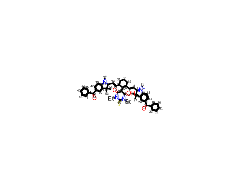 CCN1C(=O)C(C2=C(C=CC3=[N+](C)c4ccc(C(=O)c5ccccc5)cc4C3(C)C)CCCC2C=CC2N(C)c3ccc(C(=O)c4ccccc4)cc3C2(C)C)C(O)N(CC)C1=S